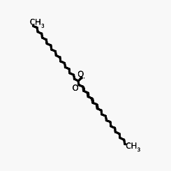 CCCCCCCCCCCCC/C=C/C=C/C=C/C=C/C(=O)C([C]=O)CCCCCCCCCCCCCCCCCCCC